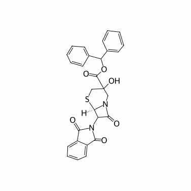 O=C1c2ccccc2C(=O)N1C1C(=O)N2CC(O)(C(=O)OC(c3ccccc3)c3ccccc3)CS[C@H]12